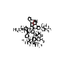 CC(C)(C)c1cccc(N2c3cc(C(C)(C)C)ccc3B3c4cc5c(cc4N(c4ccc(C(C)(C)C)cc4-c4ccccc4)c4cc(N6c7ccc(C(C)(C)C)cc7C7(C)CCCCC67C)cc2c43)Bc2ccccc2-5)c1